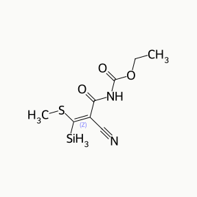 CCOC(=O)NC(=O)/C(C#N)=C(/[SiH3])SC